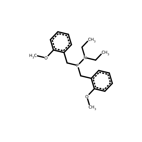 CCN(CC)P(Cc1ccccc1OC)Cc1ccccc1OC